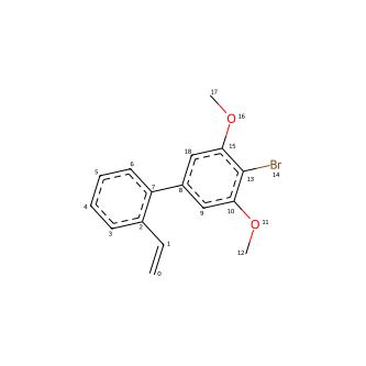 C=Cc1ccccc1-c1cc(OC)c(Br)c(OC)c1